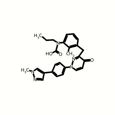 CCCN(C(=O)O)c1cccc(Cc2nn(-c3ccc(-c4cnn(C)c4)cc3)ccc2=O)c1C